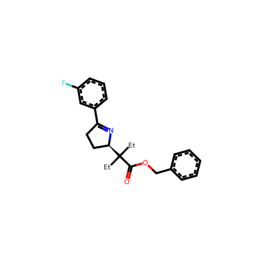 CCC(CC)(C(=O)OCc1ccccc1)[C@H]1CCC(c2cccc(F)c2)=N1